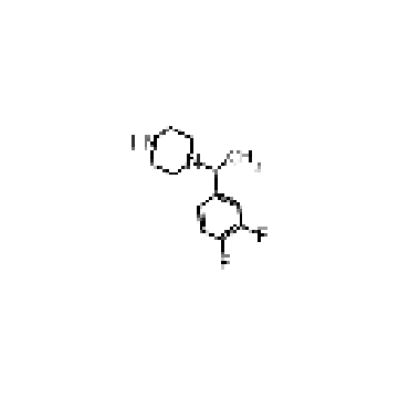 C[C@@H](c1ccc(F)c(F)c1)N1CCNCC1